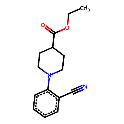 CCOC(=O)C1CCN(c2ccccc2C#N)CC1